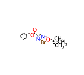 C[Si](C)(C)CCOCn1cc(C(=O)OCc2ccccc2)nc1Br